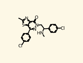 CNC(Cn1nc(-c2ccc(Cl)cc2)c2sc(C)nc2c1=O)c1ccc(Cl)cc1